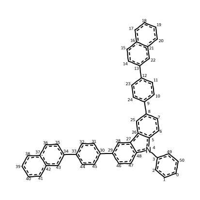 c1ccc(-n2c3ccc(-c4ccc(-c5ccc6ccccc6c5)cc4)cc3c3cc(-c4ccc(-c5ccc6ccccc6c5)cc4)ccc32)cc1